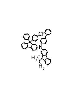 CC1(C)c2ccccc2-c2ccc(N(c3ccc(-c4ccccc4)cc3)c3ccc4c(c3)C(c3ccccc3)(c3ccc(C(F)(F)F)cc3)c3ccccc3-4)cc21